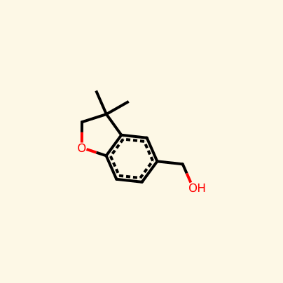 CC1(C)COc2ccc(CO)cc21